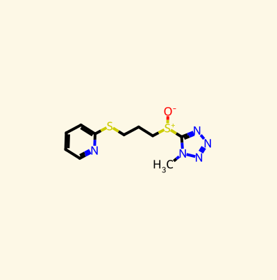 Cn1nnnc1[S+]([O-])CCCSc1ccccn1